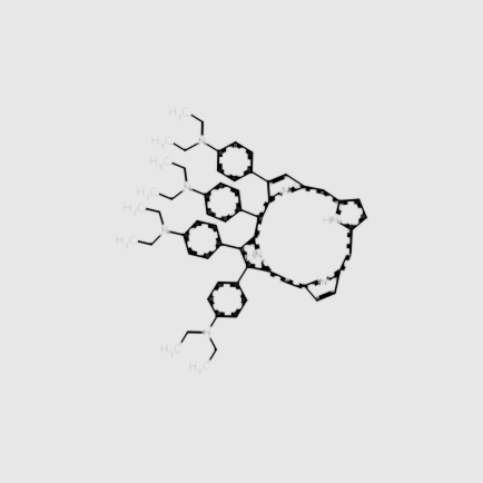 CCN(CC)c1ccc(C2=Cc3cc4ccc(cc5nc(cc6[nH]c(c(-c7ccc(N(CC)CC)cc7)c2n3)c(-c2ccc(N(CC)CC)cc2)c6-c2ccc(N(CC)CC)cc2)C=C5)[nH]4)cc1